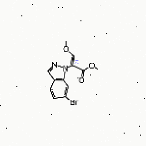 CO/C=C(/C(=O)OC)n1ncc2ccc(Br)cc21